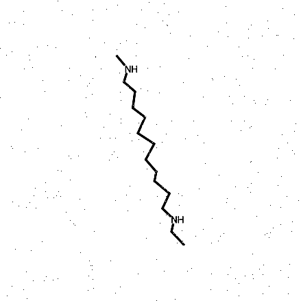 CCNCCCCCCCCCCCNC